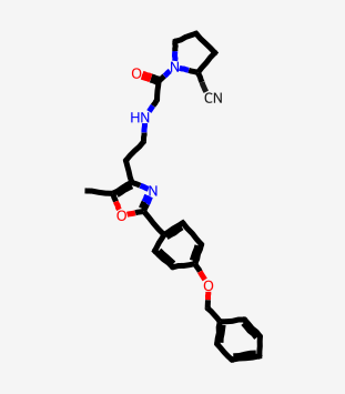 Cc1oc(-c2ccc(OCc3ccccc3)cc2)nc1CCNCC(=O)N1CCCC1C#N